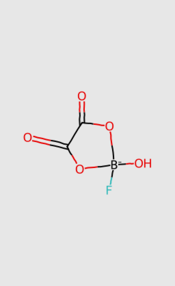 O=C1O[B-](O)(F)OC1=O